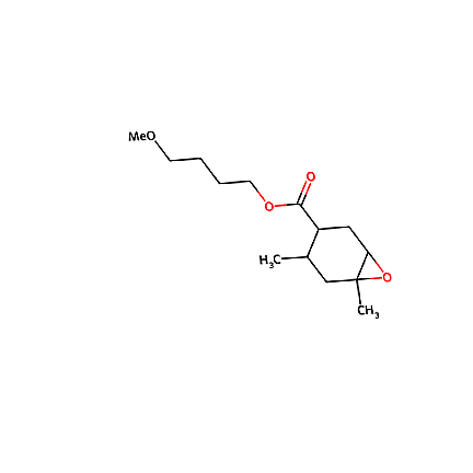 COCCCCOC(=O)C1CC2OC2(C)CC1C